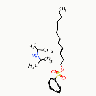 CC(C)NC(C)C.CCCCCCCCCCCCOS(=O)(=O)c1ccccc1